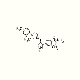 Cc1cc(-c2n[nH]cc2CN2CCN(c3ccc(C(F)(F)F)cn3)C(C)C2)ccc1S(N)(=O)=O